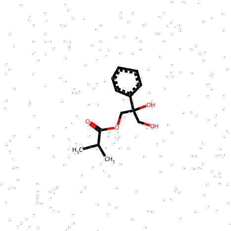 CC(C)C(=O)OCC(O)(CO)c1ccccc1